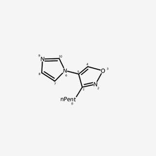 CCCCCc1nocc1-n1ccnc1